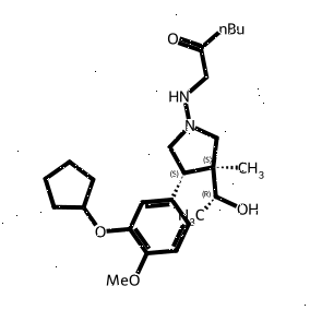 CCCCC(=O)CNN1C[C@@H](c2ccc(OC)c(OC3CCCC3)c2)[C@](C)([C@@H](C)O)C1